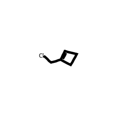 ClCC1=CCC1